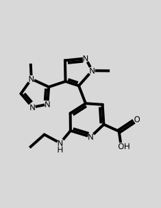 CCNc1cc(-c2c(-c3nncn3C)cnn2C)cc(C(=O)O)n1